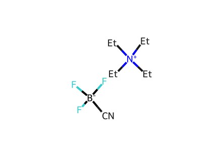 CC[N+](CC)(CC)CC.N#C[B-](F)(F)F